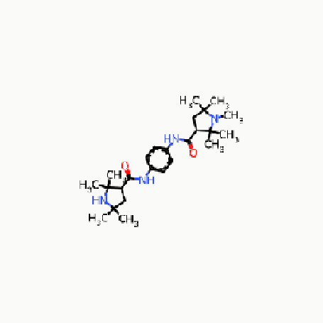 CN1C(C)(C)CC(C(=O)Nc2ccc(NC(=O)C3CC(C)(C)NC3(C)C)cc2)C1(C)C